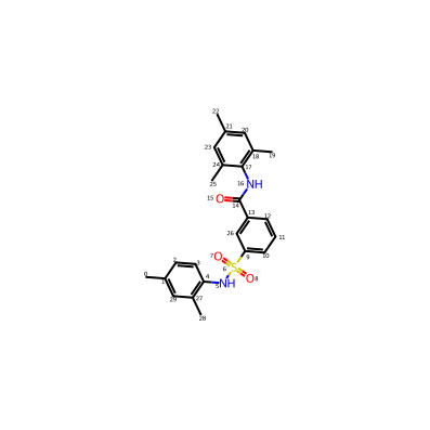 Cc1ccc(NS(=O)(=O)c2cccc(C(=O)Nc3c(C)cc(C)cc3C)c2)c(C)c1